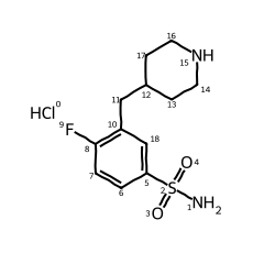 Cl.NS(=O)(=O)c1ccc(F)c(CC2CCNCC2)c1